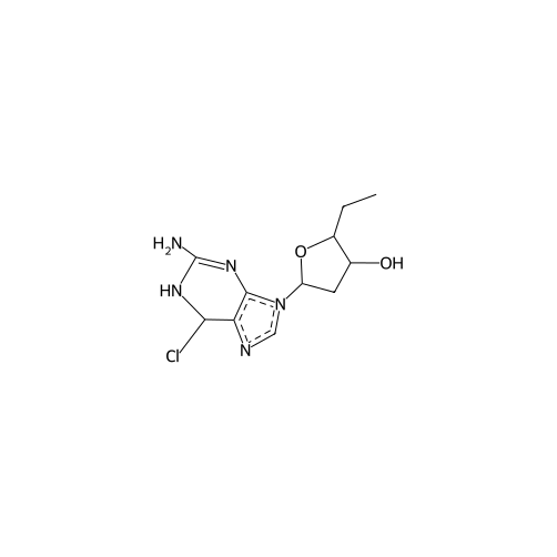 CCC1OC(n2cnc3c2N=C(N)NC3Cl)CC1O